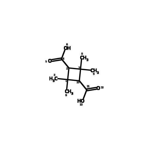 CC1(C)C(C(=O)O)C(C)(C)C1C(=O)O